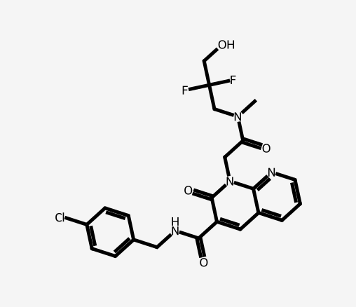 CN(CC(F)(F)CO)C(=O)Cn1c(=O)c(C(=O)NCc2ccc(Cl)cc2)cc2cccnc21